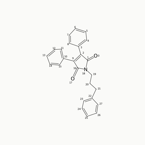 O=C1C(c2ccccc2)=C(c2ccccc2)C(=O)N1CCCc1ccccc1